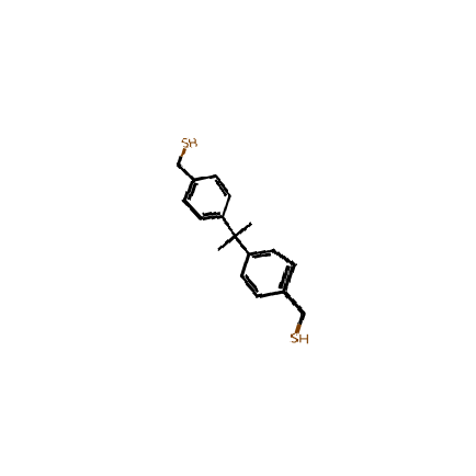 CC(C)(c1ccc(CS)cc1)c1ccc(CS)cc1